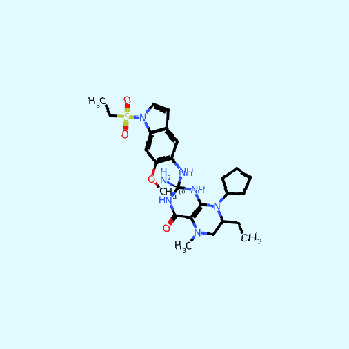 CCC1CN(C)C2=C(N[C@@](N)(Nc3cc4ccn(S(=O)(=O)CC)c4cc3OC)NC2=O)N1C1CCCC1